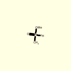 [2H]P(C)(=O)OC